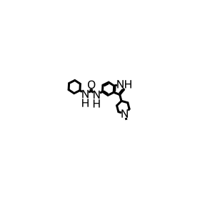 CN1CCC(c2c[nH]c3ccc(NC(=O)NC4CCCCC4)cc23)CC1